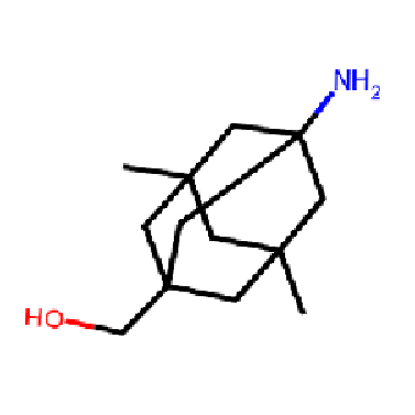 CC12CC3(C)CC(N)(C1)CC(CO)(C2)C3